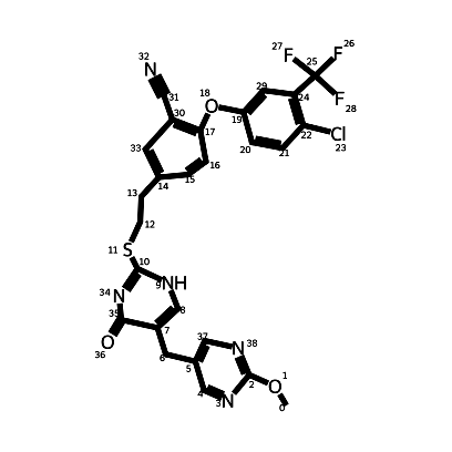 COc1ncc(Cc2c[nH]c(SCCc3ccc(Oc4ccc(Cl)c(C(F)(F)F)c4)c(C#N)c3)nc2=O)cn1